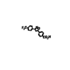 O=C(O)c1ccc(-c2cc(-c3ccc(C(F)(F)F)cc3)no2)cc1